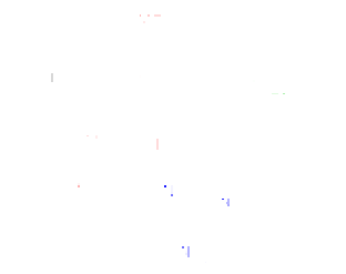 CCC(=O)O.Cl.Nc1nc2cc(Cl)ccc2n1CP(=O)(O)O